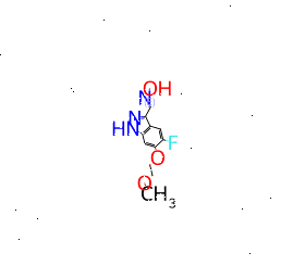 COCCOc1cc2[nH]nc(/C=N/O)c2cc1F